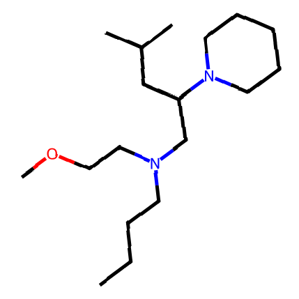 CCCCN(CCOC)CC(CC(C)C)N1CCCCC1